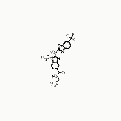 CCNC(=O)c1ccc2c(c1)nc(Nc1nc3ccc(C(F)(F)F)cc3s1)n2C